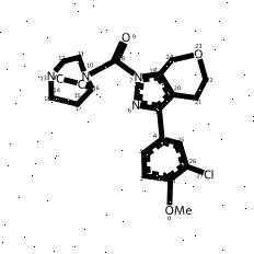 COc1ccc(-c2nn(C(=O)N3CCN4CCC3CC4)c3c2CCOC3)cc1Cl